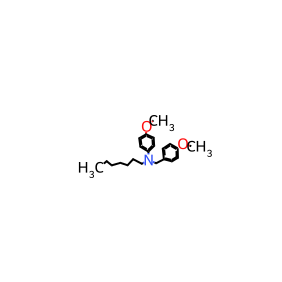 CCCCCCCN(Cc1ccc(OC)cc1)c1ccc(OC)cc1